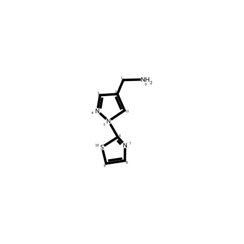 NCc1cnn(-c2nccs2)c1